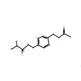 CC(=O)CCc1ccc(CCC(=O)C(C)C)cc1